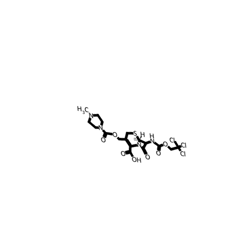 CN1CCN(C(=O)OCC2=C(C(=O)O)N3C(=O)C(NC(=O)OCC(Cl)(Cl)Cl)[C@@H]3SC2)CC1